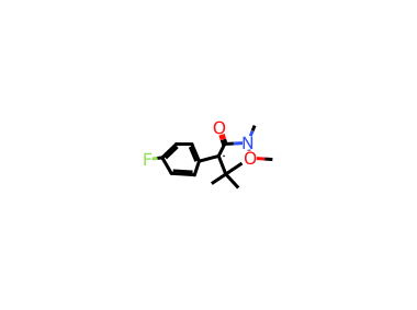 CON(C)C(=O)[C](c1ccc(F)cc1)C(C)(C)C